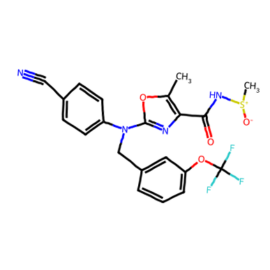 Cc1oc(N(Cc2cccc(OC(F)(F)F)c2)c2ccc(C#N)cc2)nc1C(=O)N[S+](C)[O-]